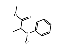 COC(=O)C(C)[S+]([O-])c1ccccc1